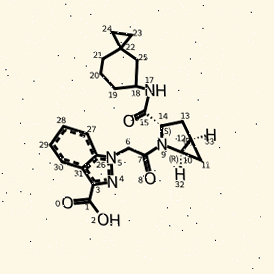 O=C(O)c1nn(CC(=O)N2[C@@H]3C[C@@H]3C[C@H]2C(=O)NC2CCCC3(CC3)C2)c2ccccc12